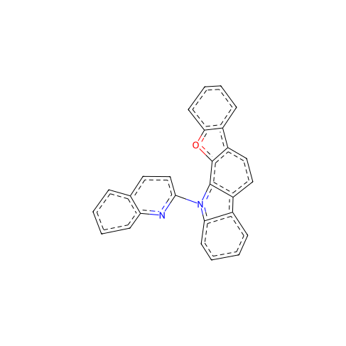 c1ccc2nc(-n3c4ccccc4c4ccc5c6ccccc6oc5c43)ccc2c1